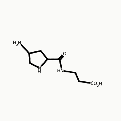 NC1CNC(C(=O)NCCC(=O)O)C1